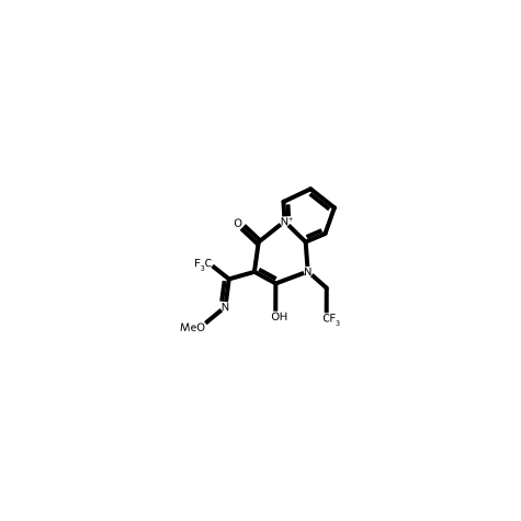 CO/N=C(/c1c(O)n(CC(F)(F)F)c2cccc[n+]2c1=O)C(F)(F)F